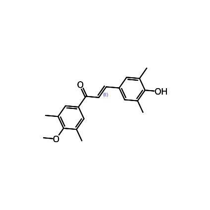 COc1c(C)cc(C(=O)/C=C/c2cc(C)c(O)c(C)c2)cc1C